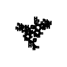 [2H]C([2H])([2H])CC(=O)c1cnc(NC(=O)C2CC2)cc1Nc1nccc2c1N(C)[C@H](C)c1cn(C([2H])([2H])[2H])nc1-2